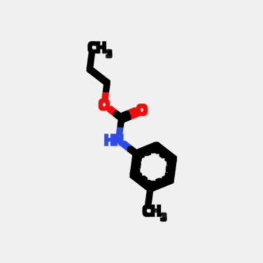 CCCOC(=O)Nc1cccc(C)c1